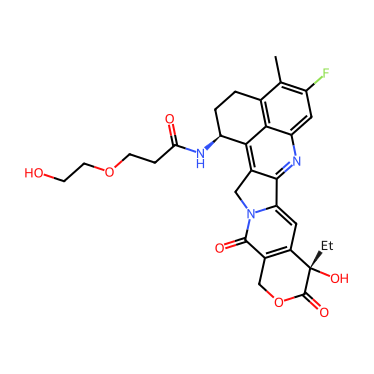 CC[C@@]1(O)C(=O)OCc2c1cc1n(c2=O)Cc2c-1nc1cc(F)c(C)c3c1c2[C@@H](NC(=O)CCOCCO)CC3